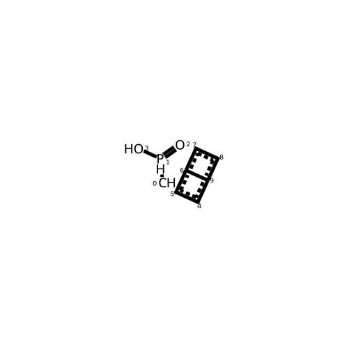 C[PH](=O)O.c1cc2ccc1-2